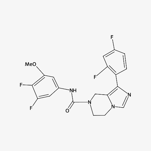 COc1cc(NC(=O)N2CCn3cnc(-c4ccc(F)cc4F)c3C2)cc(F)c1F